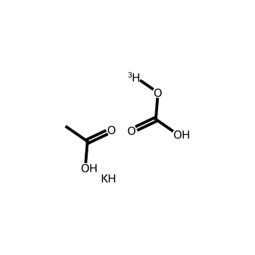 CC(=O)O.[3H]OC(=O)O.[KH]